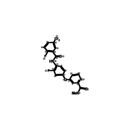 CNC(=O)c1cc(Oc2ccc(NC(=O)c3cc(C(F)(F)F)ccc3F)c(F)c2)ccn1